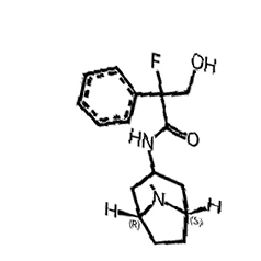 CN1[C@@H]2CC[C@H]1CC(NC(=O)C(F)(CO)c1ccccc1)C2